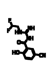 N#Cc1ccc(O)c(C(=O)NC(=N)NCC(F)F)c1